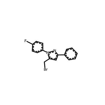 Fc1ccc(-n2nc(-c3ccccc3)cc2CBr)cc1